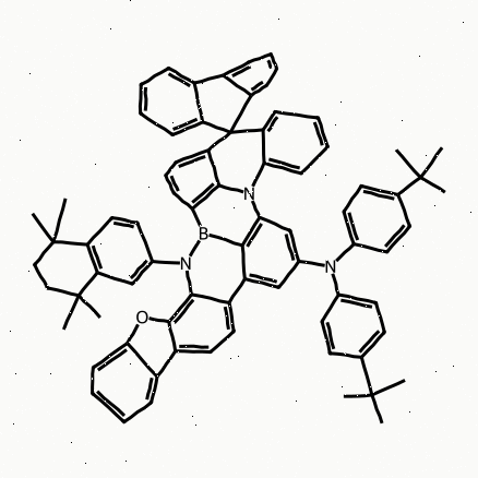 CC(C)(C)c1ccc(N(c2ccc(C(C)(C)C)cc2)c2cc3c4c(c2)N2c5ccccc5C5(c6ccccc6-c6ccccc65)c5cccc(c52)B4N(c2ccc4c(c2)C(C)(C)CCC4(C)C)c2c-3ccc3c2oc2ccccc23)cc1